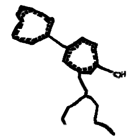 CCCC(CC)c1cc(-c2ccccc2)ccc1O